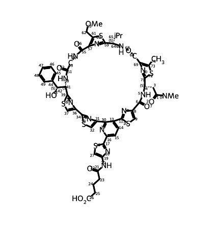 CNC(=O)C[C@@H]1NC(=O)c2csc(n2)-c2ccc(-c3nc(NC(=O)CCCC(=O)O)cs3)nc2-c2csc(n2)-c2csc(n2)[C@H]([C@@H](O)c2ccccc2)NC(=O)CNC(=O)c2nc(sc2COC)[C@H](C(C)C)NOCc2nc1sc2C